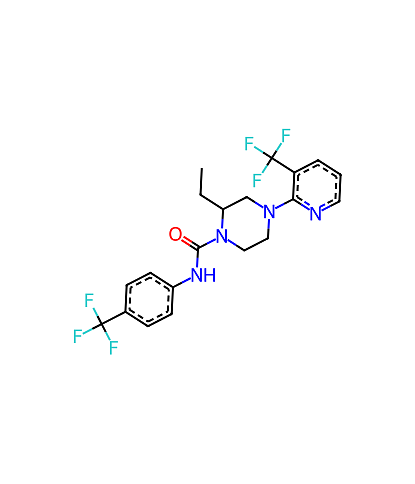 CCC1CN(c2ncccc2C(F)(F)F)CCN1C(=O)Nc1ccc(C(F)(F)F)cc1